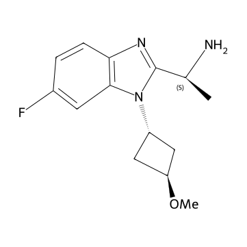 CO[C@H]1C[C@H](n2c([C@H](C)N)nc3ccc(F)cc32)C1